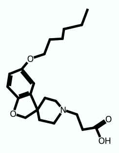 CCCCCCOc1ccc2c(c1)C1(CCN(CCC(=O)O)CC1)CO2